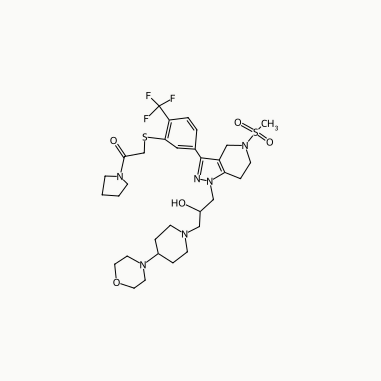 CS(=O)(=O)N1CCc2c(c(-c3ccc(C(F)(F)F)c(SCC(=O)N4CCCC4)c3)nn2CC(O)CN2CCC(N3CCOCC3)CC2)C1